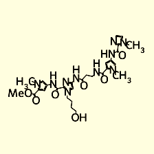 COC(=O)c1cc(NC(=O)c2nc(NC(=O)CCNC(=O)c3cc(NC(=O)c4nccn4C)cn3C)cn2CCCCO)cn1C